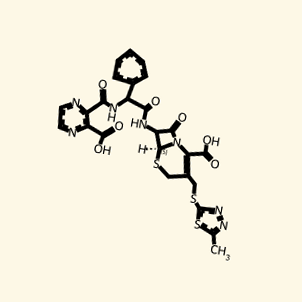 Cc1nnc(SCC2=C(C(=O)O)N3C(=O)C(NC(=O)C(NC(=O)c4nccnc4C(=O)O)c4ccccc4)[C@@H]3SC2)s1